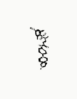 COc1cc(C)c(S(=O)(=O)N(C)CCC(=O)NC2CCC(N3CCC4(CCN(C)C4)CC3)CC2)c(C)c1